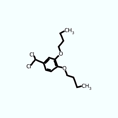 CCCCOc1ccc(C(Cl)Cl)cc1OCCCC